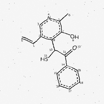 C=Cc1cnc(C)c(O)c1C(S)C(=O)c1ccccc1